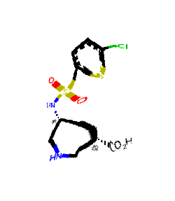 O=C(O)[C@@H]1CNC[C@H](NS(=O)(=O)c2ccc(Cl)s2)C1